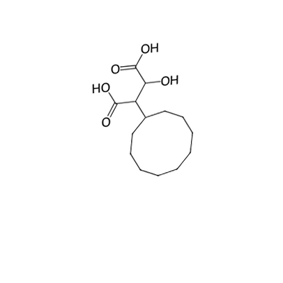 O=C(O)C(O)C(C(=O)O)C1CCCCCCCCC1